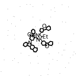 CCC1C(c2ccc3oc4ccccc4c3c2)N=C(c2cc(-n3c4ccccc4c4cc5ccccc5cc43)cc3oc4ccccc4c23)NC1c1ccc2oc3ccccc3c2c1